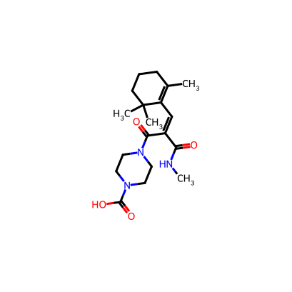 CNC(=O)C(=CC1=C(C)CCCC1(C)C)C(=O)N1CCN(C(=O)O)CC1